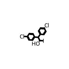 OC(I)C(c1ccc(Cl)cc1)c1ccc(Cl)cc1